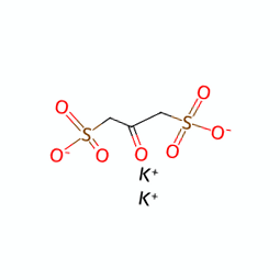 O=C(CS(=O)(=O)[O-])CS(=O)(=O)[O-].[K+].[K+]